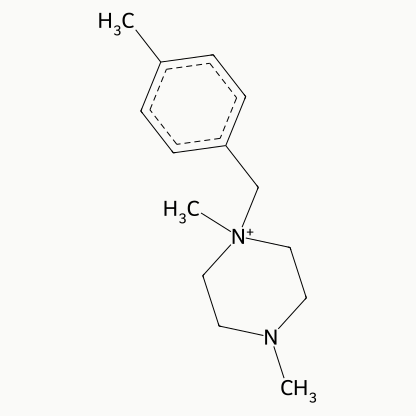 Cc1ccc(C[N+]2(C)CCN(C)CC2)cc1